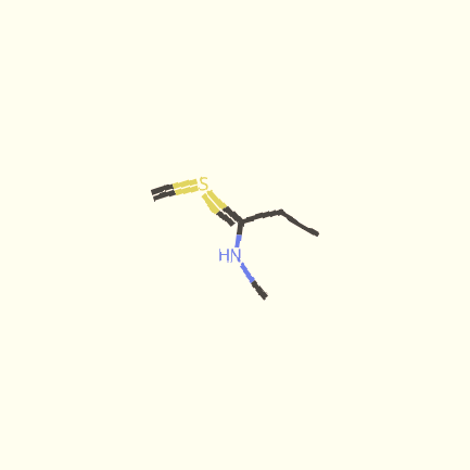 C=S=C(CC)NC